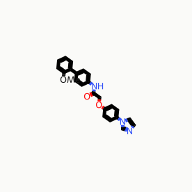 COc1ccccc1-c1ccc(NC(=O)COc2ccc(-n3ccnc3)cc2)cc1